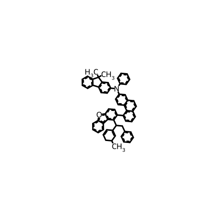 CC1C=C(C(Cc2ccccc2)c2c(-c3cccc4ccc5cc(N(c6ccccc6)c6ccc7c(c6)C(C)(C)c6ccccc6-7)ccc5c34)ccc3oc4ccccc4c23)C=CC1